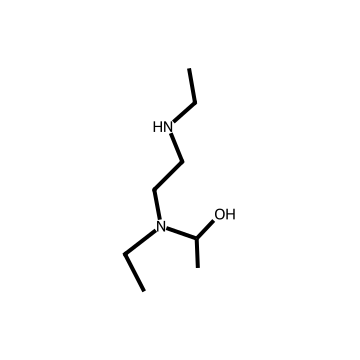 CCNCCN(CC)C(C)O